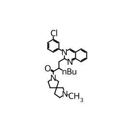 CCCCC(CC1N=c2ccccc2=CN1c1cccc(Cl)c1)C(=O)N1CCC2(CCN(C)C2)C1